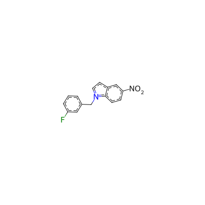 O=[N+]([O-])c1ccc2c(ccn2Cc2cccc(F)c2)c1